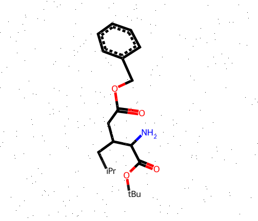 CC(C)CC(CC(=O)OCc1ccccc1)C(N)C(=O)OC(C)(C)C